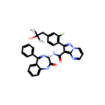 CC(C)(O)Cc1ccc(-c2nn3cccnc3c2C(=O)N[C@H]2N=C(c3ccccc3)c3ccccc3NC2=O)c(F)c1